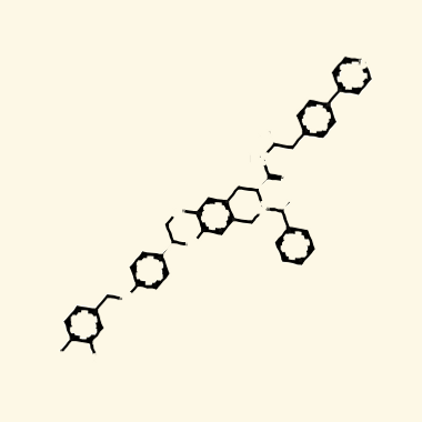 CC[C@@H](c1ccccc1)N1Cc2cc3c(cc2C[C@H]1C(=O)N[C@@H](Cc1ccc(-c2ccncc2)cc1)C(=O)O)OC[C@H](c1ccc(OCc2ccc(Cl)c(Cl)c2)cc1)O3